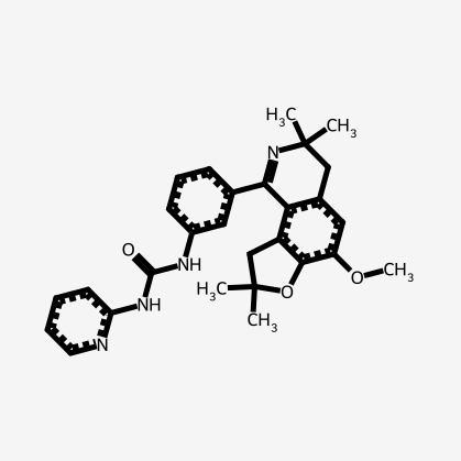 COc1cc2c(c3c1OC(C)(C)C3)C(c1cccc(NC(=O)Nc3ccccn3)c1)=NC(C)(C)C2